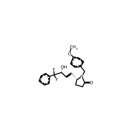 COc1ccc(CN2C(=O)CC[C@@H]2C=C[C@@H](O)C(F)(F)c2ccccc2)cc1